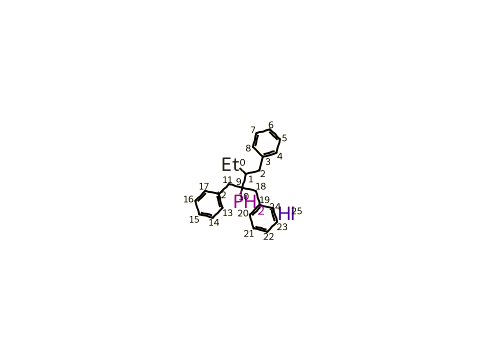 CCC(Cc1ccccc1)C(P)(Cc1ccccc1)Cc1ccccc1.I